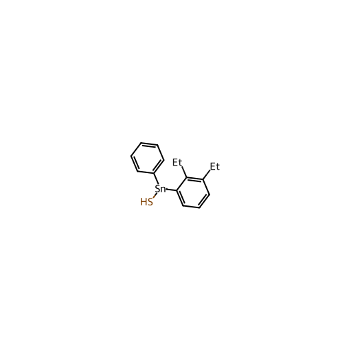 CCc1ccc[c]([Sn]([SH])[c]2ccccc2)c1CC